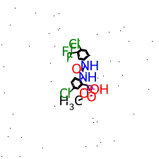 CCOP(=O)(O)Cc1cc(Cl)ccc1NC(=O)Nc1ccc(Cl)c(C(F)(F)F)c1